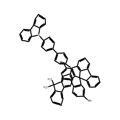 CC(C)(C)c1ccc2c(c1)C1(c3cc(C(C)(C)C)ccc3-2)c2ccccc2-c2cccc(N(c3ccc(-c4ccc(-n5c6ccccc6c6ccccc65)cc4)cc3)c3ccc4c(c3)C(C)(C)c3ccccc3-4)c21